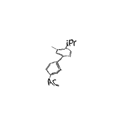 CC(=O)c1ccc(-c2ccc(C(C)C)c(C)c2)cc1